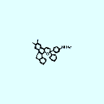 CC(=O)Nc1ccc(C2(c3ccccc3)C=Cc3c(c4c(c5cc(C)c(C)cc35)CCc3ccccc3-4)O2)cc1